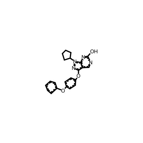 Oc1ncc2c(Oc3ccc(Oc4ccccc4)cc3)nn(C3CCCC3)c2n1